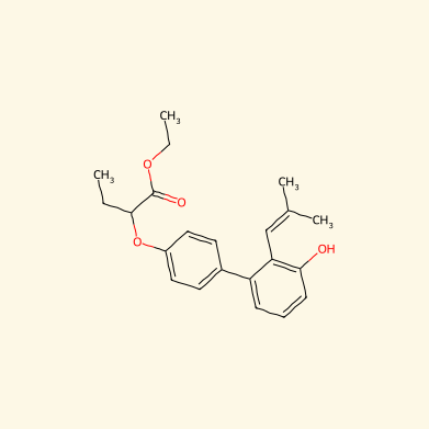 CCOC(=O)C(CC)Oc1ccc(-c2cccc(O)c2C=C(C)C)cc1